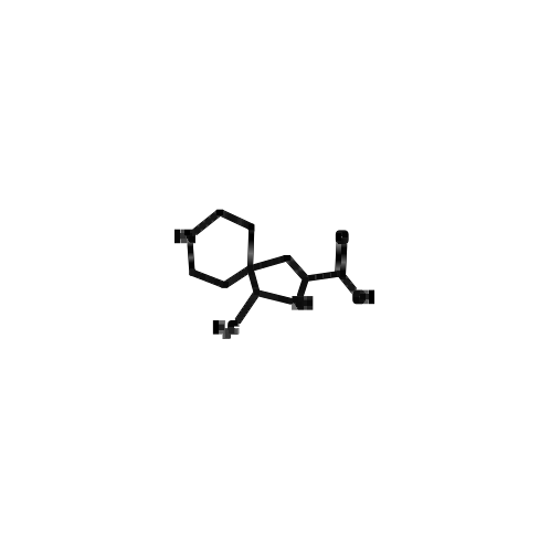 CC1NC(C(=O)O)CC12CCNCC2